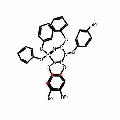 CCCc1ccc(ON2P(Oc3ccccc3)N=P(Oc3ccccc3)(Oc3ccccc3)N(Oc3ccc(CCC)cc3)P2Oc2ccc(CCC)cc2)cc1